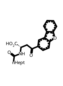 CCCCCCCC(=O)N[C@@H](CC(=O)c1ccc2oc3ccccc3c2c1)C(=O)O